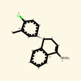 CC(=O)NC1=CC[C@@H](c2ccc(Cl)c(C)c2)c2ccccc21